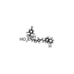 Cc1cc(F)cc(C)c1C(=O)NC(CCOC1CC(CCc2ccc3c(n2)NCCC3)C1)C(=O)O